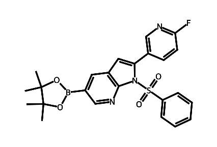 CC1(C)OB(c2cnc3c(c2)cc(-c2ccc(F)nc2)n3S(=O)(=O)c2ccccc2)OC1(C)C